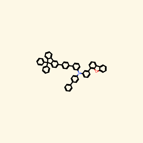 c1ccc(-c2ccc(N(c3cccc(-c4ccc(-c5ccc6c(c5)-c5ccccc5C6(c5ccccc5)c5ccccc5)cc4)c3)c3cccc(-c4cccc5c4oc4ccccc45)c3)cc2)cc1